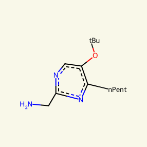 CCCCCc1nc(CN)ncc1OC(C)(C)C